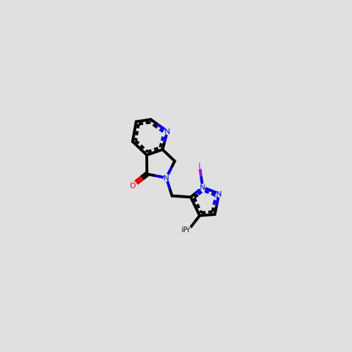 CC(C)c1cnn(I)c1CN1Cc2ncccc2C1=O